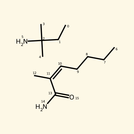 CCC(C)(C)N.CCCCC=C(C)C(N)=O